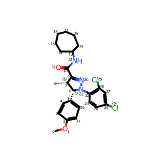 COc1ccc([C@@H]2[C@H](C)C(C(=O)NC3CCCCCC3)=NN2c2ccc(Cl)cc2Cl)cc1